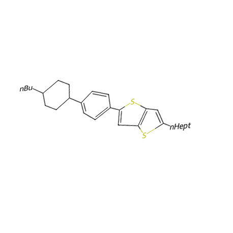 CCCCCCCc1cc2sc(-c3ccc(C4CCC(CCCC)CC4)cc3)cc2s1